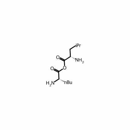 CCCC[C@H](N)C(=O)OC(=O)[C@@H](N)CC(C)C